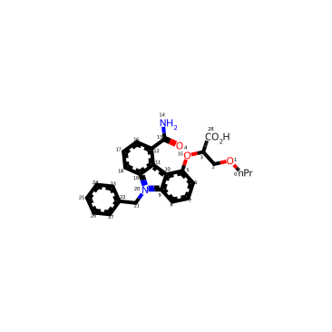 CCCOCC(Oc1cccc2c1c1c(C(N)=O)cccc1n2Cc1ccccc1)C(=O)O